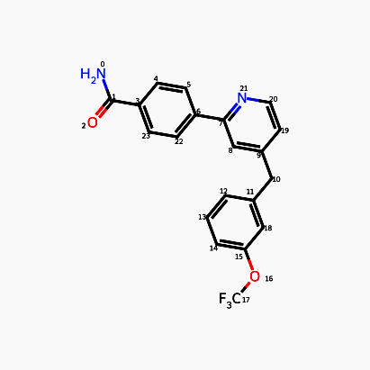 NC(=O)c1ccc(-c2cc(Cc3cccc(OC(F)(F)F)c3)ccn2)cc1